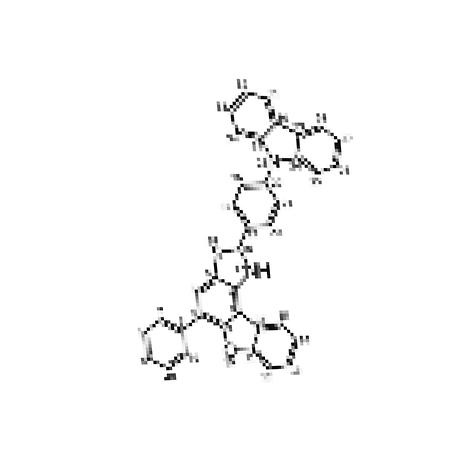 c1ccc(-c2cc3c(c4c2oc2ccccc24)NC(c2ccc(-n4c5ccccc5c5ccccc54)cc2)S3)cc1